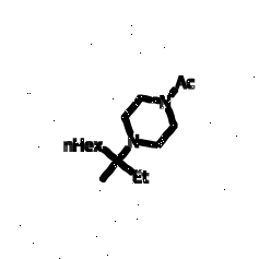 CCCCCCC(C)(CC)N1CCN(C(C)=O)CC1